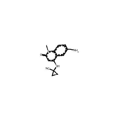 Cn1c(=O)cc(NC2(C#N)CC2)c2cc(N)ccc21